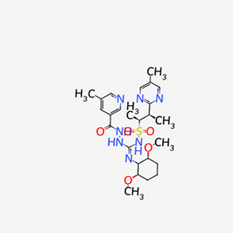 CO[C@H]1CCC[C@@H](OC)C1N=C(NNC(=O)c1cncc(C)c1)NS(=O)(=O)[C@@H](C)[C@H](C)c1ncc(C)cn1